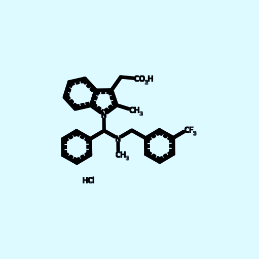 Cc1c(CC(=O)O)c2ccccc2n1C(c1ccccc1)N(C)Cc1cccc(C(F)(F)F)c1.Cl